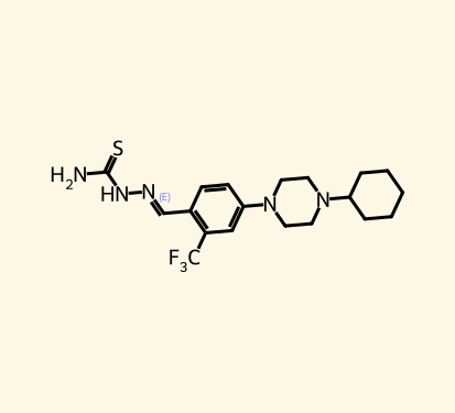 NC(=S)N/N=C/c1ccc(N2CCN(C3CCCCC3)CC2)cc1C(F)(F)F